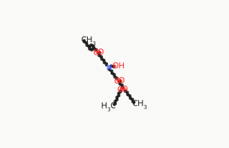 CCCCCCCCOC(CCC(=O)OCCCCCCN(CCO)CCCCCCCC(=O)OCc1ccc(CCCC)cc1)OCCCCCCCC